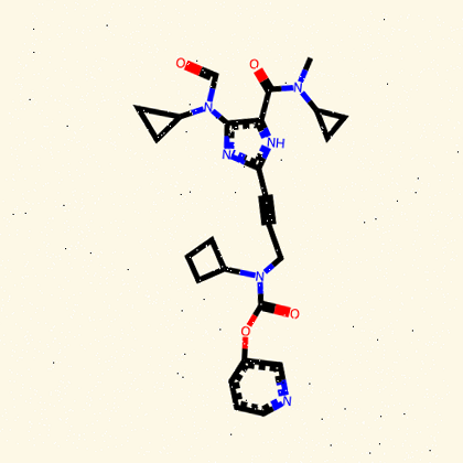 CN(C(=O)c1[nH]c(C#CCN(C(=O)Oc2cccnc2)C2CCC2)nc1N(C=O)C1CC1)C1CC1